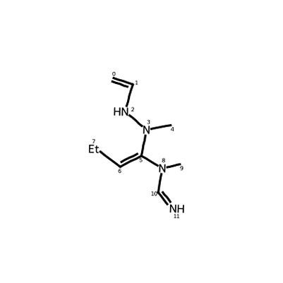 C=CNN(C)/C(=C\CC)N(C)C=N